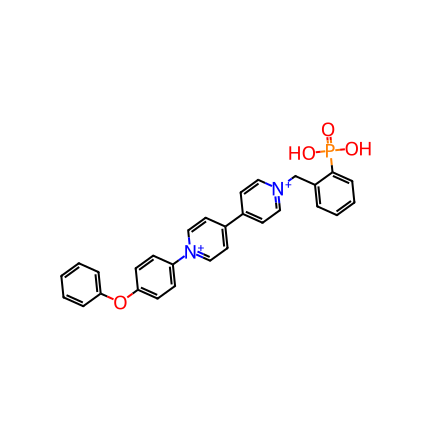 O=P(O)(O)c1ccccc1C[n+]1ccc(-c2cc[n+](-c3ccc(Oc4ccccc4)cc3)cc2)cc1